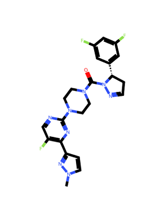 Cn1ccc(-c2nc(N3CCN(C(=O)N4N=CC[C@H]4c4cc(F)cc(F)c4)CC3)ncc2F)n1